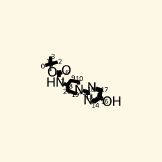 CC(C)(C)OC(=O)NC1CCN(c2ncc(O)cn2)CC1